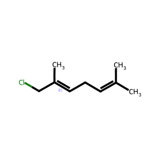 CC(C)=CC/C=C(\C)CCl